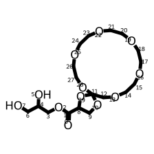 O=C(OCC(O)CO)C1COC2(COCCOCCOCCOCCOCCO2)O1